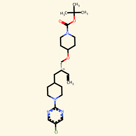 C=C[C@@H](COC1CCN(C(=O)OC(C)(C)C)CC1)CC1CCN(c2ncc(Cl)cn2)CC1